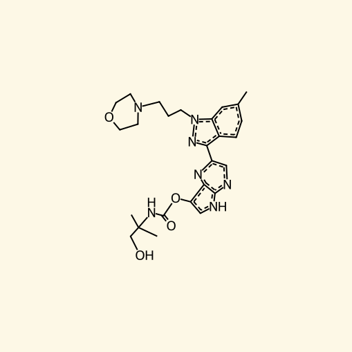 Cc1ccc2c(-c3cnc4[nH]cc(OC(=O)NC(C)(C)CO)c4n3)nn(CCCN3CCOCC3)c2c1